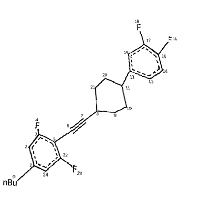 CCCCc1cc(F)c(C#CC2CCC(c3ccc(F)c(F)c3)CC2)c(F)c1